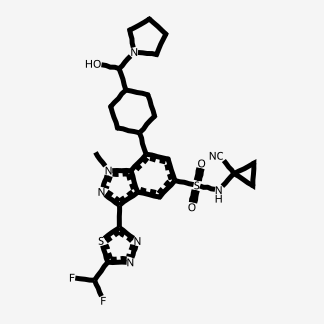 Cn1nc(-c2nnc(C(F)F)s2)c2cc(S(=O)(=O)NC3(C#N)CC3)cc(C3CCC(C(O)N4CCCC4)CC3)c21